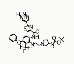 CN(CCN1CC[C@@H](N(C)C(=O)OC(C)(C)C)C1)c1c(NC(=O)c2csc(C(/C=C\N)=C/N)n2)ccc(Oc2ccccc2)c1C(F)(F)F